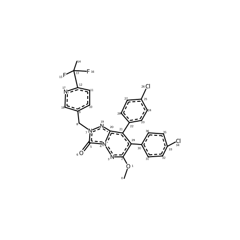 COc1nn2c(=O)n(Cc3ccc(C(C)(F)F)nc3)nc2c(-c2ccc(Cl)cc2)c1-c1ccc(Cl)cc1